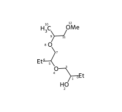 CCC(O)COC(CC)COC(C)COC